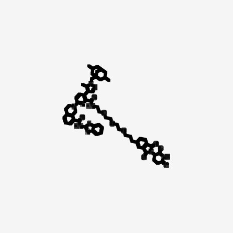 Cc1c(-c2ccc(N3CCc4cccc(C(=O)Nc5nc6ccccc6s5)c4C3)nc2C(=O)NCCOCCOCCOCCCc2ccc3c(c2)C(=O)N(C2CCC(=O)NC2=O)C3=O)cnn1CC12CC(C)CC(CC(C)C1)C2